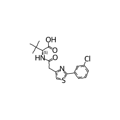 CC(C)(C)[C@H](NC(=O)Cc1csc(-c2cccc(Cl)c2)n1)C(=O)O